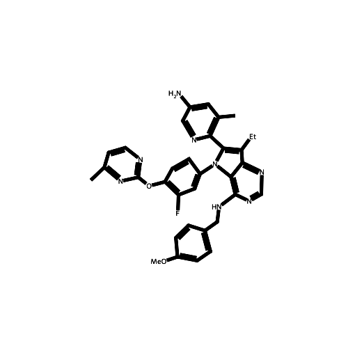 CCc1c(-c2ncc(N)cc2C)n(-c2ccc(Oc3nccc(C)n3)c(F)c2)c2c(NCc3ccc(OC)cc3)ncnc12